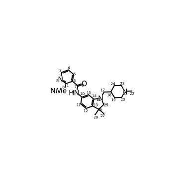 CNc1ncccc1C(=O)Nc1ccc2c(c1)N(CC1CCN(C)CC1)CC2(C)C